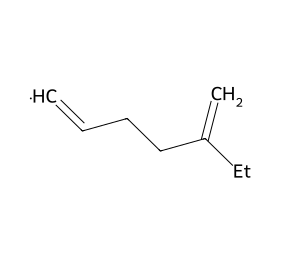 [CH]=CCCC(=C)CC